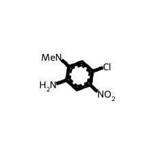 CNc1cc(Cl)c([N+](=O)[O-])cc1N